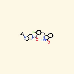 O=C(c1cc(Cc2n[nH]c(=O)c3ccccc23)ccc1F)N1CCC2C(CCN2C2CC2)C1